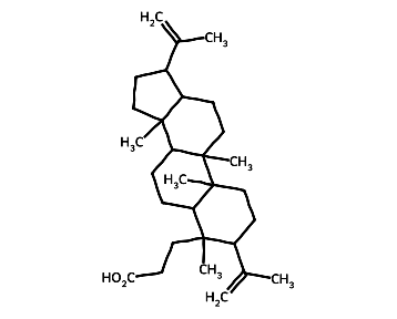 C=C(C)C1CCC2(C)C1CCC1(C)C2CCC2C(C)(CCC(=O)O)C(C(=C)C)CCC21C